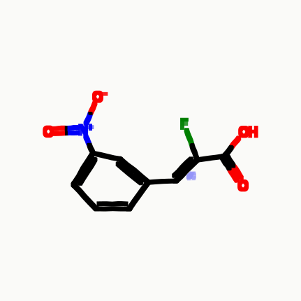 O=C(O)/C(F)=C/c1cccc([N+](=O)[O-])c1